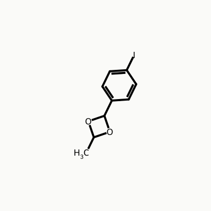 CC1OC(c2ccc(I)cc2)O1